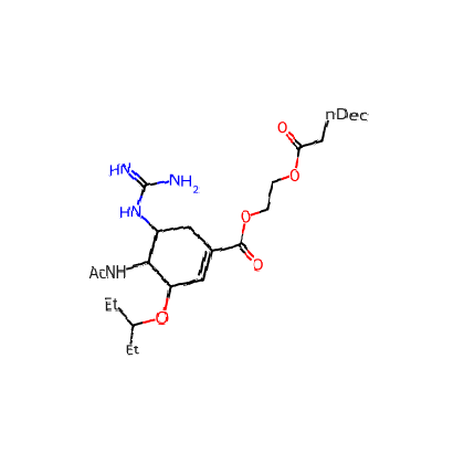 CCCCCCCCCCCC(=O)OCCOC(=O)C1=CC(OC(CC)CC)C(NC(C)=O)C(NC(=N)N)C1